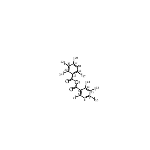 O=C(OC(=O)c1c(I)cc(I)c(I)c1I)c1c(I)cc(I)c(I)c1I